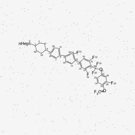 CCCCCCCC1CCC(c2ccc(-c3ccc(-c4cc(F)c(C(F)(F)Oc5ccc(OC(F)(F)F)c(F)c5)c(F)c4)c(F)c3)cc2)CC1